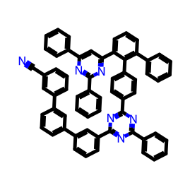 N#Cc1cccc(-c2cccc(-c3cccc(-c4nc(-c5ccccc5)nc(-c5ccc(-c6c(-c7ccccc7)cccc6-c6cc(-c7ccccc7)nc(-c7ccccc7)n6)cc5)n4)c3)c2)c1